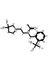 CC(=O)N(CCN1CCC(F)(F)C1)Cc1ccccc1C(F)(F)F